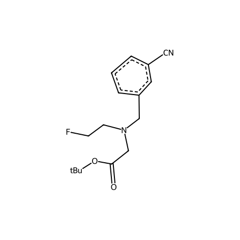 CC(C)(C)OC(=O)CN(CCF)Cc1cccc(C#N)c1